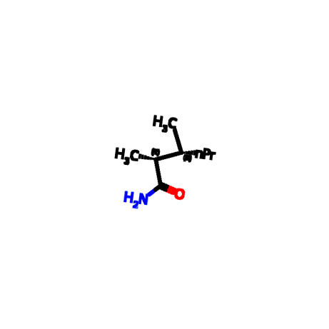 CCC[C@@H](C)[C@@H](C)C(N)=O